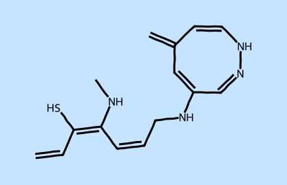 C=C/C(S)=C(\C=C/CNC1=C/C(=C)/C=C\N/N=C\1)NC